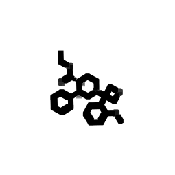 CCOC(=O)[C@@H]1CCN(C2(c3ccccc3OC)COC2)C[C@H]1c1ccccc1